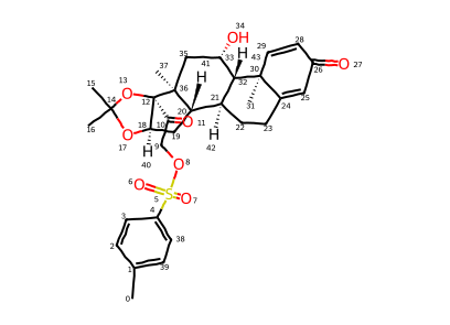 Cc1ccc(S(=O)(=O)OCC(=O)[C@@]23OC(C)(C)O[C@@H]2C[C@H]2[C@@H]4CCC5=CC(=O)C=C[C@]5(C)[C@H]4[C@@H](O)C[C@@]23C)cc1